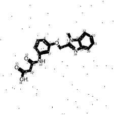 Cn1c(COc2cccc(NC(=O)CC(=O)O)c2)nc2ccccc21